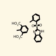 Cc1c(C(=O)O)cccc1C(=O)O.Cc1ccccc1S(=O)(=O)c1nc2ccccc2[nH]1